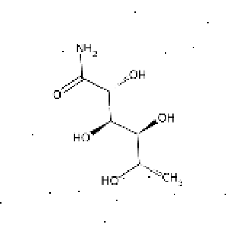 C[C@H](O)[C@H](O)[C@@H](O)[C@@H](O)C(N)=O